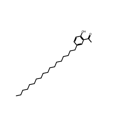 CCCCCCCCCCCCCCCCCCc1ccc(O)c(C(C)=O)c1